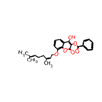 CC(C)=CCCC(C)=CCOc1cccc2c(O)c(OC(=O)c3ccccc3)c(=O)oc12